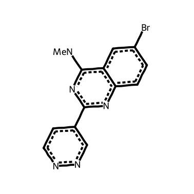 CNc1nc(-c2ccnnc2)nc2ccc(Br)cc12